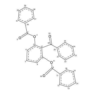 O=C(Oc1cccc(OC(=O)c2ccccc2)c1C(=O)c1ccccc1)c1ccccc1